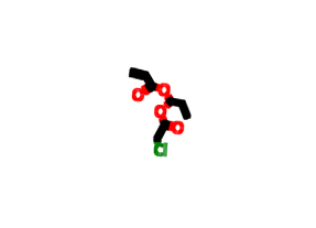 C=CC(=O)OC(CC)OC(=O)CCl